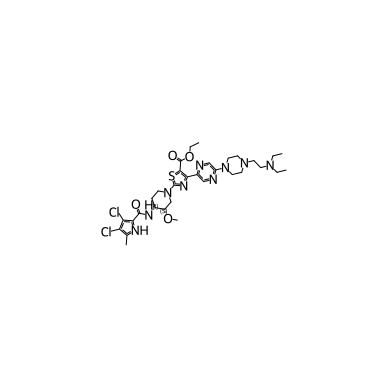 CCOC(=O)c1sc(N2CC[C@@H](NC(=O)c3[nH]c(C)c(Cl)c3Cl)[C@@H](OC)C2)nc1-c1cnc(N2CCN(CCN(CC)CC)CC2)cn1